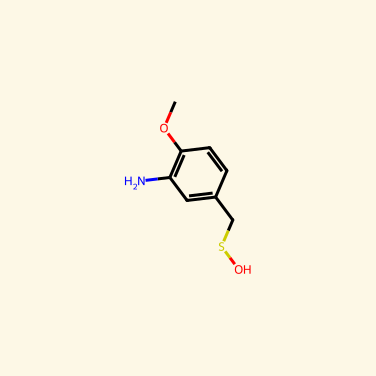 COc1ccc(CSO)cc1N